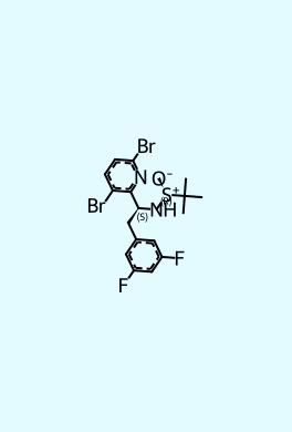 CC(C)(C)[S@+]([O-])N[C@@H](Cc1cc(F)cc(F)c1)c1nc(Br)ccc1Br